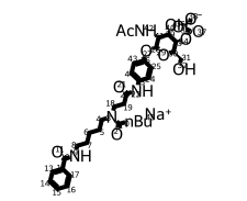 CCCCC(=O)N(CCCCCNC(=O)c1ccccc1)CCC(=O)Nc1ccc(O[C@@H]2O[C@H](CO)[C@H](OS(=O)(=O)[O-])[C@H](O)[C@H]2NC(C)=O)cc1.[Na+]